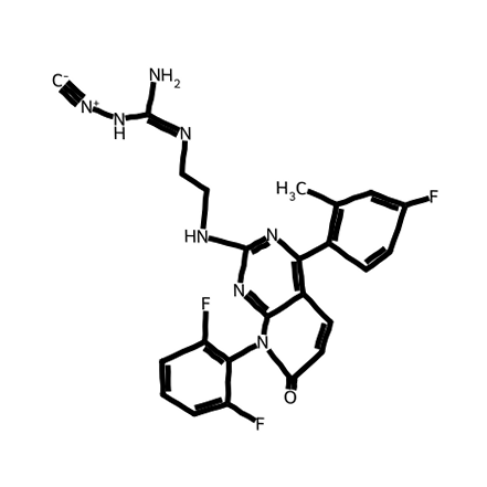 [C-]#[N+]NC(N)=NCCNc1nc(-c2ccc(F)cc2C)c2ccc(=O)n(-c3c(F)cccc3F)c2n1